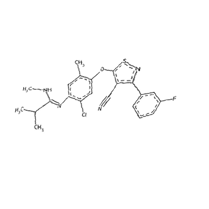 CNC(=Nc1cc(C)c(Oc2snc(-c3cccc(F)c3)c2C#N)cc1Cl)C(C)C